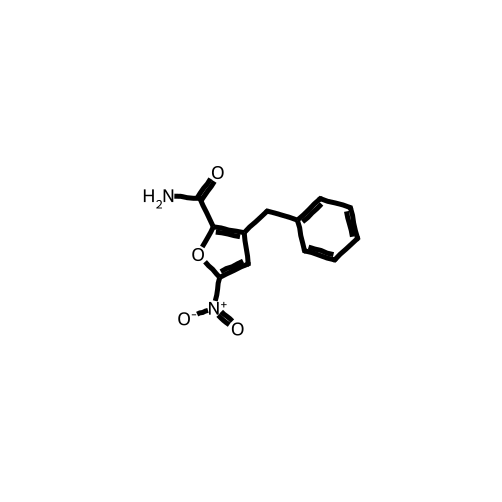 NC(=O)c1oc([N+](=O)[O-])cc1Cc1ccccc1